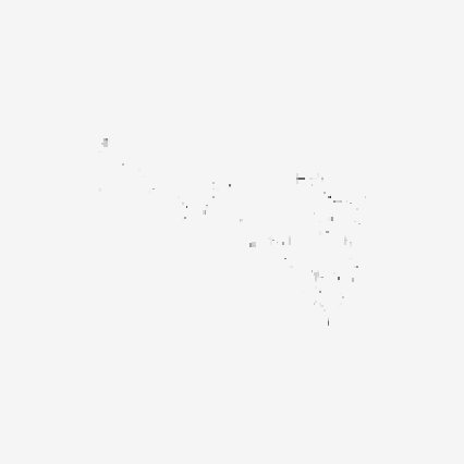 [13CH3][15N]1[13CH2][13CH2]N([13CH2][13CH]2[13CH2][13CH2][13CH2][15N]2[13CH2]C(=O)[15NH]CCCC(=O)NCCCC(=O)O)[13CH2][13CH2]1